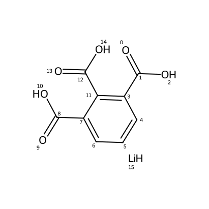 O=C(O)c1cccc(C(=O)O)c1C(=O)O.[LiH]